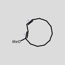 CO/C1=C\C=C/CCCCCCCC1